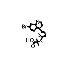 CC(C)(Sc1ccc(-c2ccnc3cc(Br)ccc23)s1)C(=O)O